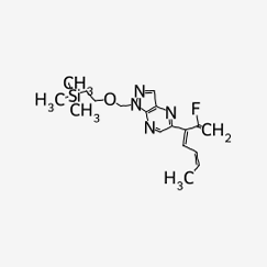 C=C(F)/C(=C\C=C/C)c1cnc2c(cnn2COCC[Si](C)(C)C)n1